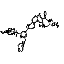 C[C@@H]1CNc2c(sc3ccc4nc(-c5cc(C#C[Si](C)(C)C)nc(CN6CCOCC6)c5)ccc4c23)C(=O)N1